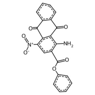 Nc1c(C(=O)Oc2ccccc2)cc([N+](=O)[O-])c2c1C(=O)c1ccccc1C2=O